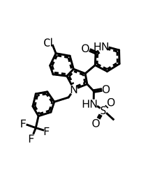 CS(=O)(=O)NC(=O)c1c(-c2ccc[nH]c2=O)c2cc(Cl)ccc2n1Cc1cccc(C(F)(F)F)c1